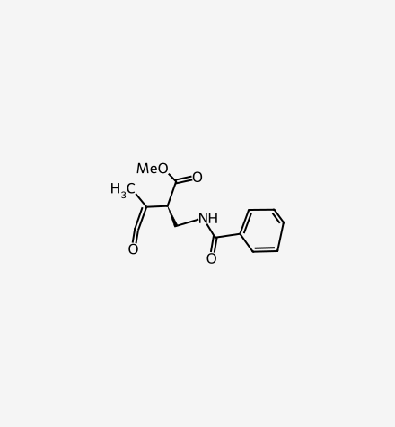 COC(=O)[C@@H](CNC(=O)c1ccccc1)C(C)=C=O